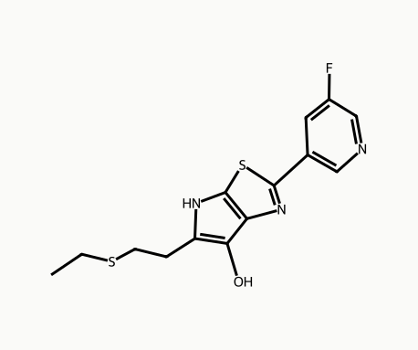 CCSCCc1[nH]c2sc(-c3cncc(F)c3)nc2c1O